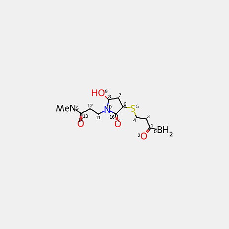 BC(=O)CCSC1CC(O)N(CCC(=O)NC)C1=O